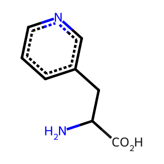 NC(Cc1cccnc1)C(=O)O